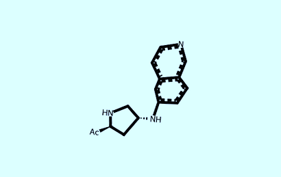 CC(=O)[C@@H]1C[C@@H](Nc2ccc3cnccc3c2)CN1